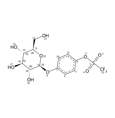 O=S(=O)(Oc1ccc(O[C@@H]2O[C@H](CO)[C@@H](O)[C@H](O)[C@H]2O)cc1)C(F)(F)F